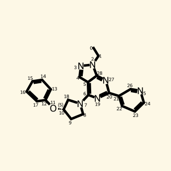 CCn1ncc2c(N3CC[C@H](Oc4ccccc4)C3)nc(-c3cccnc3)nc21